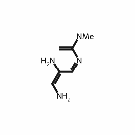 C=C(/N=C\C(N)=C/N)NC